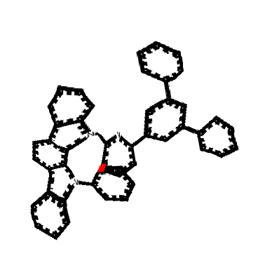 c1ccc(-c2cc(-c3ccccc3)cc(-c3cccc(-n4c5ccccc5c5ccc6c7ccccc7n(-c7ccccc7)c6c54)n3)c2)cc1